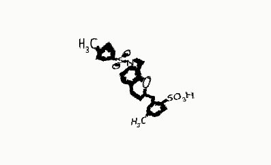 Cc1ccc(S(=O)(=O)n2ccc3c4c(ccc32)C=CC(Cc2cc(C)ccc2S(=O)(=O)O)O4)cc1